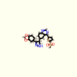 CS(=O)(=O)c1ccc(-c2ncnc3ccc(-c4c[nH]nc4-c4ccc5c(c4)OCO5)cc23)s1